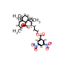 C[C@H]1[C@@H](CCCOC(=O)c2cc([N+](=O)[O-])cc([N+](=O)[O-])c2)OC2O[C@]3(C)CC[C@H]4[C@H](C)CC[C@@H]1[C@@]24OO3